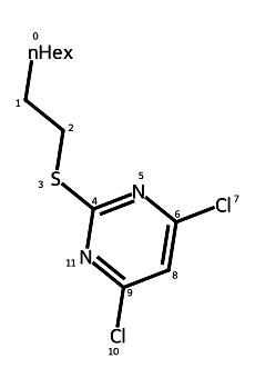 CCCCCCCCSc1nc(Cl)cc(Cl)n1